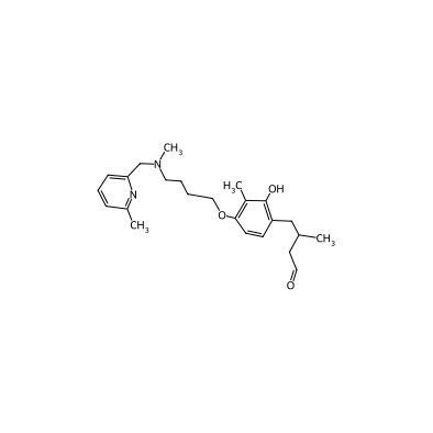 Cc1cccc(CN(C)CCCCOc2ccc(CC(C)CC=O)c(O)c2C)n1